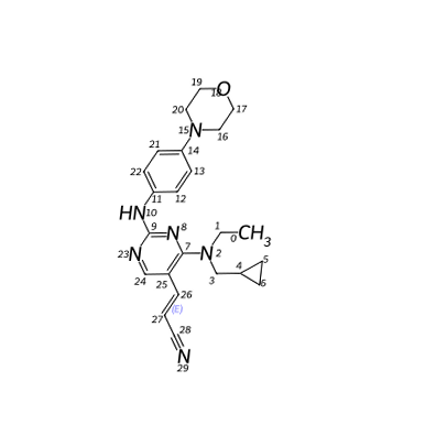 CCN(CC1CC1)c1nc(Nc2ccc(N3CCOCC3)cc2)ncc1/C=C/C#N